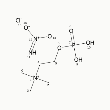 C[N+](C)(C)CCOP(=O)(O)O.N=[N+]([O-])[O-].[Cl-]